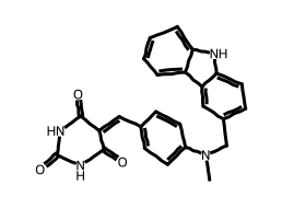 CN(Cc1ccc2[nH]c3ccccc3c2c1)c1ccc(C=C2C(=O)NC(=O)NC2=O)cc1